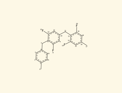 Cc1ccc(Cc2c(F)cc(Cc3c(F)cc(C)cc3F)cc2F)cc1